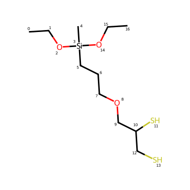 CCO[Si](C)(CCCOCC(S)CS)OCC